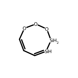 C1=COOO[SiH2][SiH]=C1